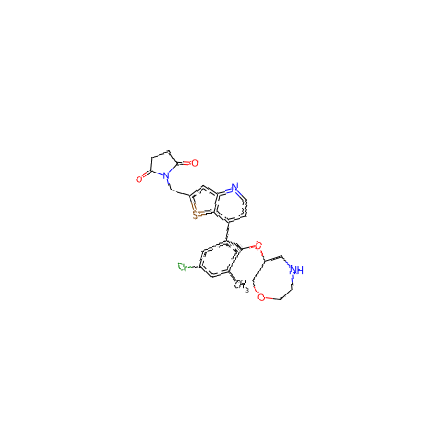 Cc1cc(Cl)cc(-c2ccnc3cc(CN4C(=O)CCC4=O)sc23)c1OC1CNCCOC1